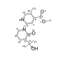 COC(=O)c1cc(-n2cccc(C(C)(C)O)c2=O)ncc1C